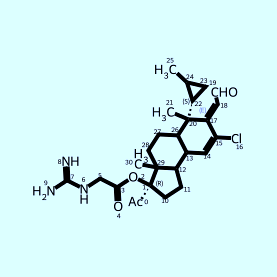 CC(=O)[C@@]1(OC(=O)CNC(=N)N)CCC2C3C=C(Cl)/C(=C/C=O)C(C)([C@H]4CC4C)C3CCC21C